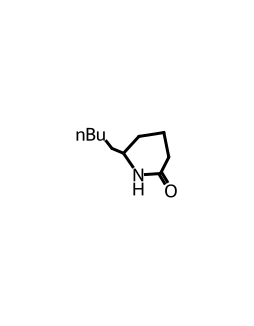 CCCCCC1CCCC(=O)N1